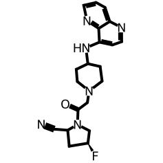 N#CC1C[C@H](F)CN1C(=O)CN1CCC(Nc2ccnc3cccnc23)CC1